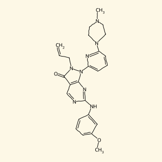 C=CCn1c(=O)c2cnc(Nc3cccc(OC)c3)nc2n1-c1cccc(N2CCN(C)CC2)n1